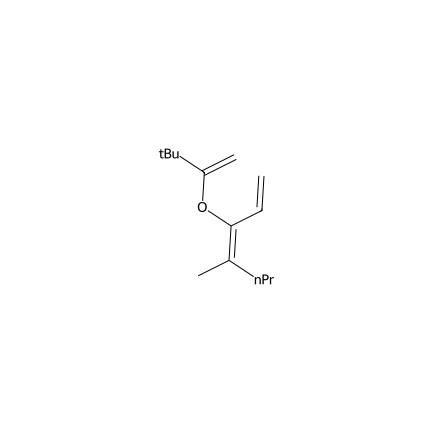 C=C/C(OC(=C)C(C)(C)C)=C(/C)CCC